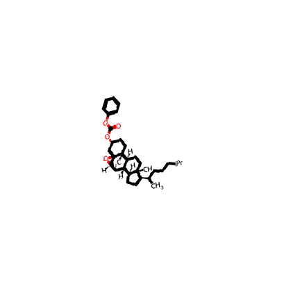 CC(C)CCCC(C)[C@H]1CC[C@H]2[C@@H]3C[C@H]4OC45C[C@@H](OC(=O)Oc4ccccc4)CC[C@]5(C)[C@H]3CC[C@]12C